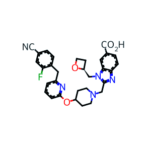 N#Cc1ccc(Cc2cccc(OC3CCN(Cc4nc5ccc(C(=O)O)cc5n4C[C@@H]4CCO4)CC3)n2)c(F)c1